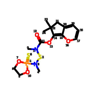 CN(SN(C)P1(=S)OCCO1)C(=O)OC1=C2OC=CC=C2CC1(C)C